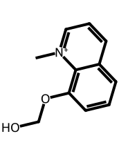 C[n+]1cccc2cccc(OCO)c21